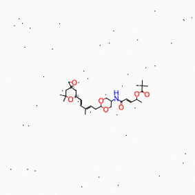 CC(C=C[C@@H]1C[C@]2(CO2)CC(C)(C)O1)=CCC1OCC(NC(=O)C=CC(C)OC(=O)C(C)(C)C)CO1